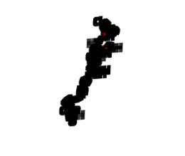 CC1(C)CCC(CNCCNc2ccc(C(=O)NS(=O)(=O)c3ccc(NC[C@H]4CC[C@H](N5CCN(CC#Cc6cccc7c6CN(C6CCC(=O)NC6=O)C7=O)CC5)CC4)c(N(O)O)c3)c(Oc3cnc4[nH]ccc4c3)c2)=C(c2ccc(Cl)cc2)C1